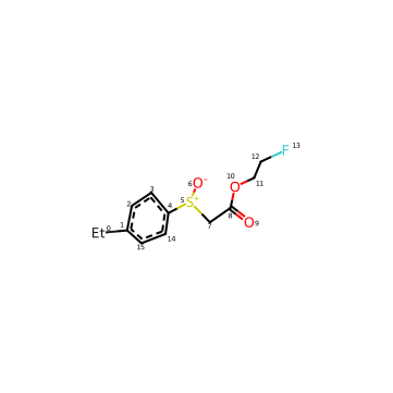 CCc1ccc([S+]([O-])CC(=O)OCCF)cc1